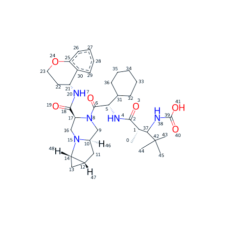 C[C@H](C(=O)N[C@H](C(=O)N1C[C@H]2C[C@@H]3C[C@@H]3N2C[C@H]1C(=O)N[C@@H]1CCOc2ccccc21)C1CCCCC1)C(NC(=O)O)C(C)(C)C